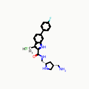 Cc1c(C(=O)NC[C@@H]2C[C@H](CN)CN2)[nH]c2cc(-c3ccc(F)cc3)ccc12.[Cl-].[H+]